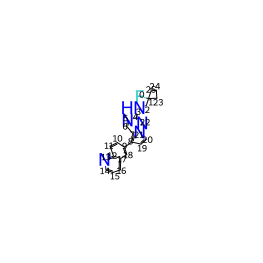 FC1(CNc2ncc3c(-c4ccc5ncccc5c4)ccn3n2)CCC1